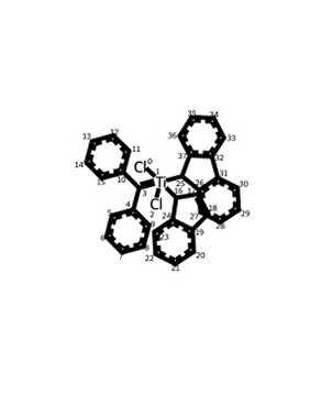 [Cl][Ti]([Cl])(=[C](c1ccccc1)c1ccccc1)([CH]1C=Cc2ccccc21)[CH]1c2ccccc2-c2ccccc21